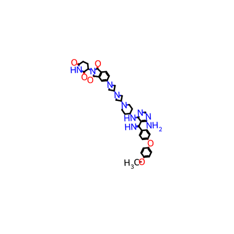 COc1ccc(Oc2ccc(C(=N)c3c(N)ncnc3NC3CCN(C4CN(C5CN(c6ccc7c(c6)C(=O)N(C6CCC(=O)NC6=O)C7=O)C5)C4)CC3)cc2)cc1